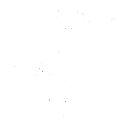 c1ccc(-c2nc3ccc4ccc(-c5ccc(N(c6ccccc6)c6ccc7oc8ccccc8c7c6)cc5)cc4c3o2)cc1